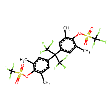 Cc1cc(C(c2cc(C)c(OS(=O)(=O)C(F)(F)F)c(C)c2)(C(F)(F)F)C(F)(F)F)cc(C)c1OS(=O)(=O)C(F)(F)F